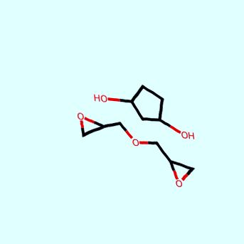 C(OCC1CO1)C1CO1.OC1CCC(O)C1